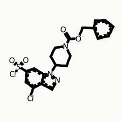 O=C(OCc1ccccc1)N1CCC(n2ncc3c(Cl)cc(S(=O)(=O)Cl)cc32)CC1